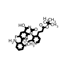 CC(C)c1nccc(CCC(=O)OC(C)(C)C)c1-n1c(=O)nc(O)c2cc(F)c(-c3c(N)cccc3F)nc21